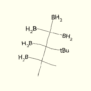 BC(B)(B)C(B)(C(B)(C)C)C(C)(C)C